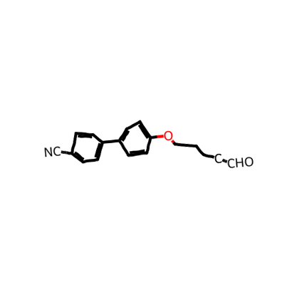 N#Cc1ccc(-c2ccc(OCCCCC=O)cc2)cc1